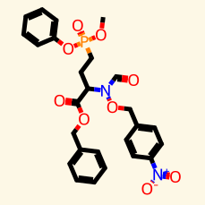 COP(=O)(CCC(C(=O)OCc1ccccc1)N(C=O)OCc1ccc([N+](=O)[O-])cc1)Oc1ccccc1